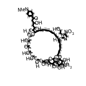 CNc1ccc(C(=O)CC(O)CCC(C)C2OC(=O)CC(O)CC(=O)CC(O)CC(O)CC(O)CC(O)CC3(O)CC(O)C(C(=O)OC)C(CC(O[C@@H]4O[C@H](C)[C@@H](O)[C@H](N)[C@@H]4O)\C=C/C=C\C=C/C=C\C=C/C=C\C=C/C2C)O3)cc1.Cc1ncc([N+](=O)[O-])n1CCO